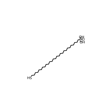 O=P(O)(O)CCCCCCCCCCCCCCCCCCCCCCCCCCCS